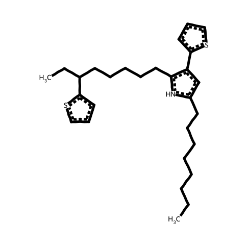 CCCCCCCCc1cc(-c2cccs2)c(CCCCCC(CC)c2cccs2)[nH]1